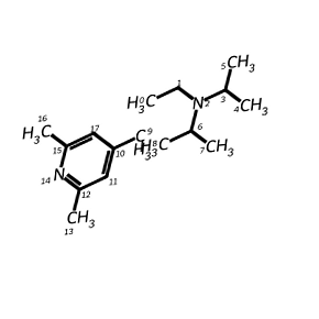 CCN(C(C)C)C(C)C.Cc1cc(C)nc(C)c1